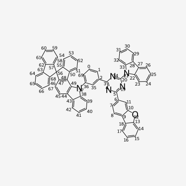 c1cc(-c2nc(-c3ccc4c(c3)oc3ccccc34)nc(-n3c4ccccc4c4ccccc43)n2)cc(-n2c3ccccc3c3ccc4c(c32)-c2ccccc2C42c3ccccc3-c3ccccc32)c1